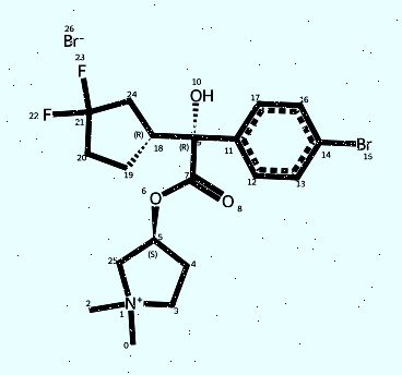 C[N+]1(C)CC[C@H](OC(=O)[C@](O)(c2ccc(Br)cc2)[C@@H]2CCC(F)(F)C2)C1.[Br-]